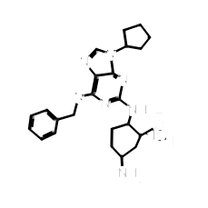 Cl.Cl.NC1CCC(Nc2nc(NCc3ccccc3)c3ncn(C4CCCC4)c3n2)C(O)C1